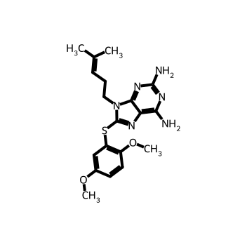 COc1ccc(OC)c(Sc2nc3c(N)nc(N)nc3n2CCC=C(C)C)c1